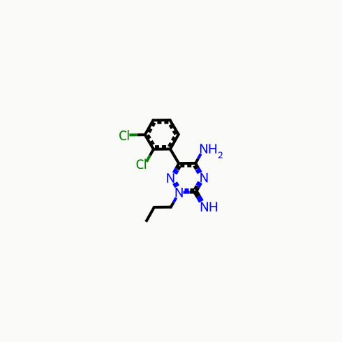 CCCn1nc(-c2cccc(Cl)c2Cl)c(N)nc1=N